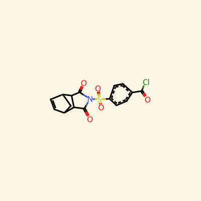 O=C(Cl)c1ccc(S(=O)(=O)N2C(=O)C3C4C=CC(C4)C3C2=O)cc1